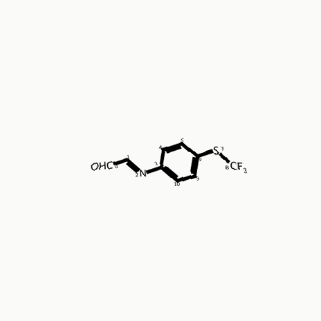 O=CC=Nc1ccc(SC(F)(F)F)cc1